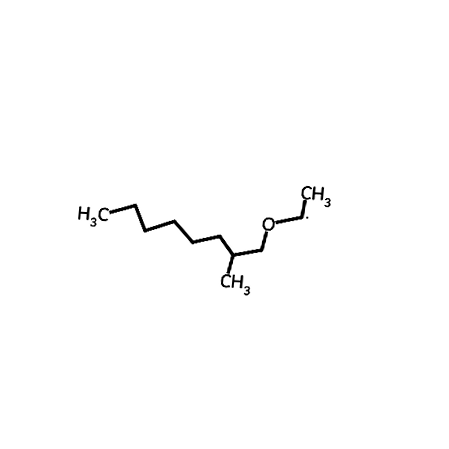 C[CH]OCC(C)CCCCCC